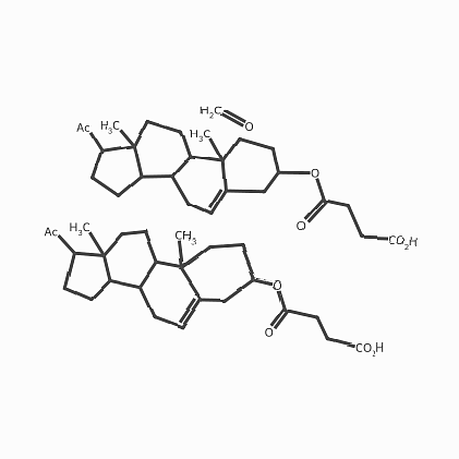 C=O.CC(=O)C1CCC2C3CC=C4CC(OC(=O)CCC(=O)O)CCC4(C)C3CCC12C.CC(=O)C1CCC2C3CC=C4CC(OC(=O)CCC(=O)O)CCC4(C)C3CCC12C